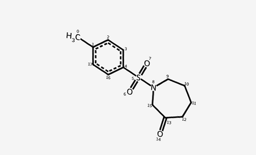 Cc1ccc(S(=O)(=O)N2CCCCC(=O)C2)cc1